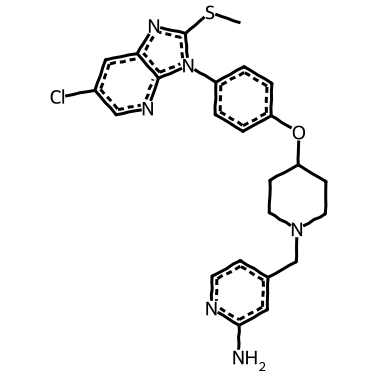 CSc1nc2cc(Cl)cnc2n1-c1ccc(OC2CCN(Cc3ccnc(N)c3)CC2)cc1